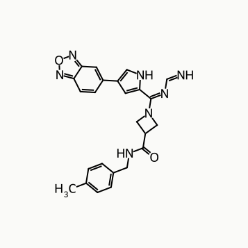 Cc1ccc(CNC(=O)C2CN(/C(=N/C=N)c3cc(-c4ccc5nonc5c4)c[nH]3)C2)cc1